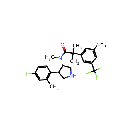 Cc1cc(C(F)(F)F)cc(C(C)(C)C(=O)N(C)[C@@H]2CNC[C@H]2c2ccc(F)cc2C)c1